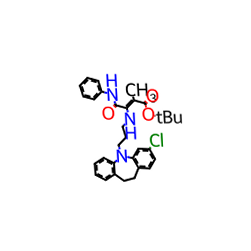 CC(C(=O)OC(C)(C)C)=C(NCCCN1c2ccccc2CCc2ccc(Cl)cc21)C(=O)Nc1ccccc1